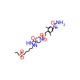 CCCS(=O)(=O)CCCCCC1=NC2(CCN(S(=O)(=O)CCc3c(C)cc(N(C)C(N)=O)cc3C)CC2)C(=O)N1